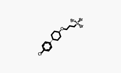 Clc1ccc([C@H]2CC[C@H](OCCC[Si](Br)(Br)Br)CC2)cc1